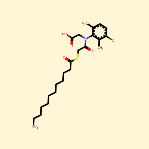 CCCCCCCCCCCC(=O)SCC(=O)N(CC(=O)O)c1c(C)ccc(Cl)c1C